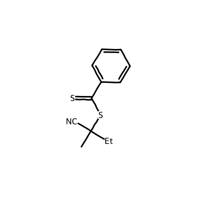 CCC(C)(C#N)SC(=S)c1ccccc1